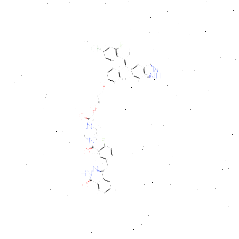 CCC(=C(c1ccc(OCCCOCC(=O)N2CCN(C(=O)c3cc(Cc4n[nH]c(=O)c5ccccc45)ccc3F)CC2)cc1)c1ccc2[nH]ncc2c1)c1ccc(Cl)cc1F